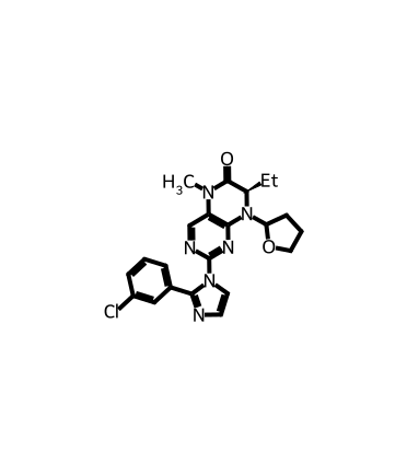 CC[C@@H]1C(=O)N(C)c2cnc(-n3ccnc3-c3cccc(Cl)c3)nc2N1C1CCCO1